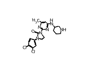 Cc1cc(NC2CCCNC2)nc(N2CCN(c3ccc(Cl)c(Cl)c3)C2=O)n1